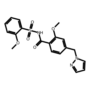 COc1cc(Cn2cccn2)ccc1C(=O)NS(=O)(=O)c1ccccc1OC